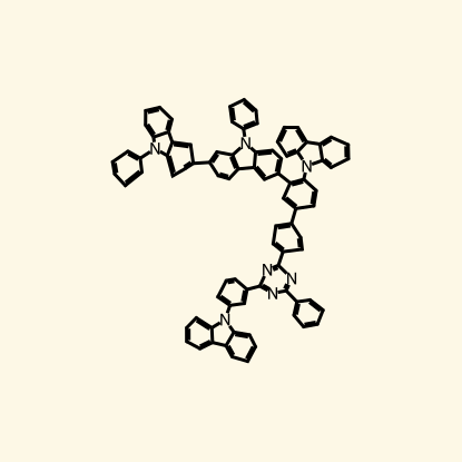 c1ccc(-c2nc(-c3ccc(-c4ccc(-n5c6ccccc6c6ccccc65)c(-c5ccc6c(c5)c5ccc(-c7ccc8c(c7)c7ccccc7n8-c7ccccc7)cc5n6-c5ccccc5)c4)cc3)nc(-c3cccc(-n4c5ccccc5c5ccccc54)c3)n2)cc1